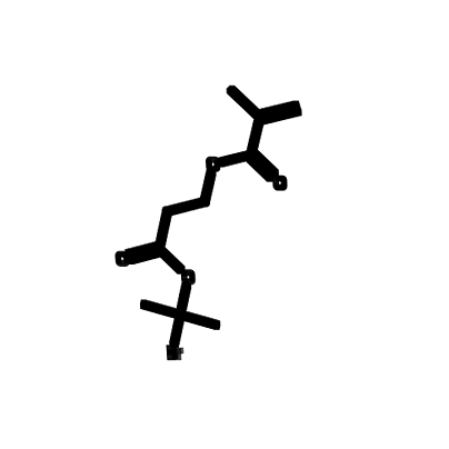 C=C(C)C(=O)OCCC(=O)OC(C)(C)Br